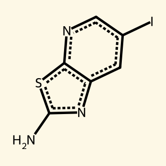 Nc1nc2cc(I)cnc2s1